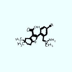 CN(N)Cc1cc(C#N)ccc1-c1sc2c(c1C(=O)O)CC(C)(C)CC2